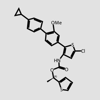 COc1cc(-c2sc(Cl)cc2NC(=O)O[C@H](C)c2cccs2)ccc1-c1ccc(C2CC2)cc1